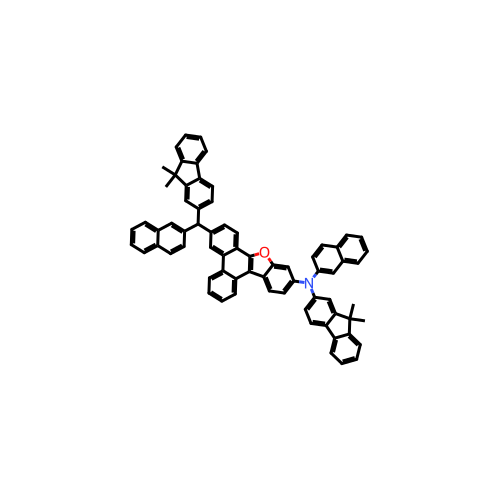 CC1(C)c2ccccc2-c2ccc(C(c3ccc4ccccc4c3)c3ccc4c(c3)c3ccccc3c3c5ccc(N(c6ccc7c(c6)C(C)(C)c6ccccc6-7)c6ccc7ccccc7c6)cc5oc43)cc21